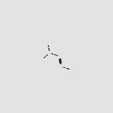 CN(C)P=NP